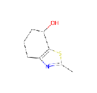 Cc1nc2c(s1)C(O)CCC2